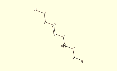 [CH2]CCC=CC[N]CCC